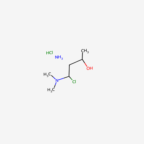 CC(O)CC(Cl)N(C)C.Cl.N